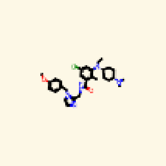 CCN(c1cc(Cl)cc(C(=O)NCc2nccn2Cc2ccc(OC)cc2)c1C)[C@H]1CC[C@H](N(C)C)CC1